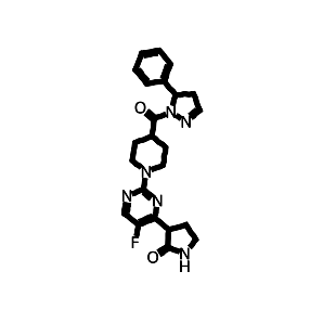 O=C1NCCC1c1nc(N2CCC(C(=O)N3N=CCC3c3ccccc3)CC2)ncc1F